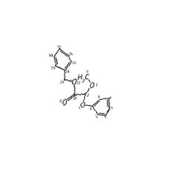 COC(Oc1[c]cccc1)C(=O)OCc1ccccc1